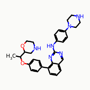 CC(Oc1ccc(-c2cccc3cnc(Nc4ccc(N5CCNCC5)cc4)nc23)cc1)C1CNCCO1